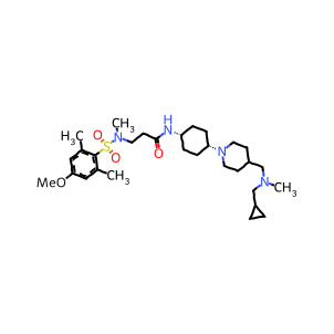 COc1cc(C)c(S(=O)(=O)N(C)CCC(=O)N[C@H]2CC[C@@H](N3CCC(CN(C)CC4CC4)CC3)CC2)c(C)c1